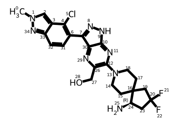 Cn1cc2c(Cl)c(-c3n[nH]c4nc(N5CCC6(CC5)CC(F)(F)C[C@H]6N)c(CO)nc34)ccc2n1